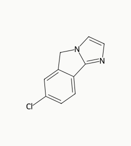 Clc1ccc2c(c1)Cn1ccnc1-2